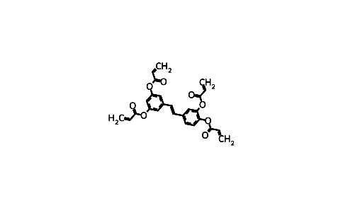 C=CC(=O)Oc1cc(/C=C/c2ccc(OC(=O)C=C)c(OC(=O)C=C)c2)cc(OC(=O)C=C)c1